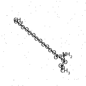 CCOC(=O)CCC(=O)N(CCCN)CCCNC(=O)CCOCCOCCOCCOCCOCCOCCOCCOCCOCCOCCOCCOC